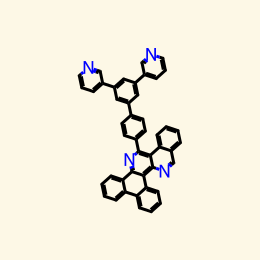 c1cncc(-c2cc(-c3ccc(-c4nc5c6ccccc6c6ccccc6c5c5ncc6ccccc6c45)cc3)cc(-c3cccnc3)c2)c1